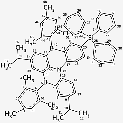 Cc1cc(C)c(B2c3cc(C(C)C)ccc3N3c4ccc([Si](c5ccccc5)(c5ccccc5)c5ccccc5)cc4B(c4c(C)cc(C)cc4C)c4cc(C(C)C)cc2c43)c(C)c1